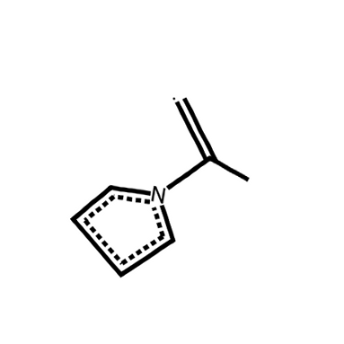 [CH]=C(C)n1cccc1